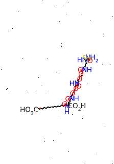 NC(=O)[C@H](CCCCNC(=O)COCCOCCNC(=O)COCCOCCNC(=O)CC[C@H](NC(=O)CCCCCCCCCCCCCCCCC(=O)O)C(=O)O)NS